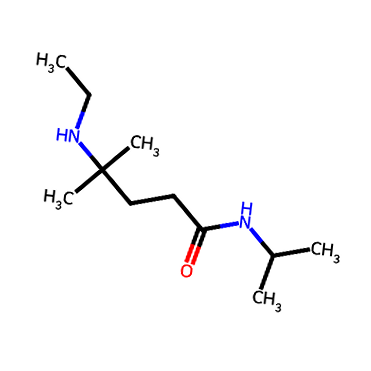 CCNC(C)(C)CCC(=O)NC(C)C